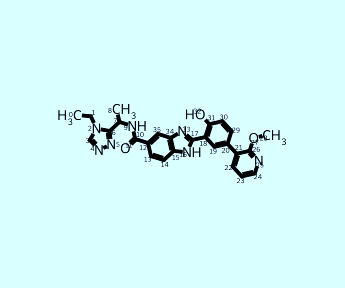 CCn1cnnc1C(C)NC(=O)c1ccc2[nH]c(-c3cc(-c4cccnc4OC)ccc3O)nc2c1